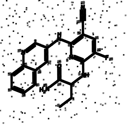 CCC(Nc1nc(Nc2cnc3ccccc3c2)c(C#N)cc1F)C(N)=O